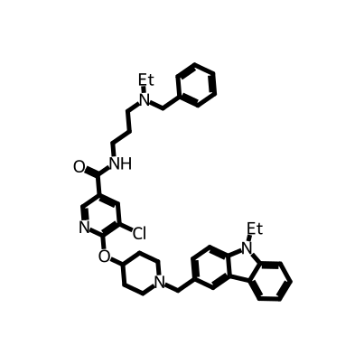 CCN(CCCNC(=O)c1cnc(OC2CCN(Cc3ccc4c(c3)c3ccccc3n4CC)CC2)c(Cl)c1)Cc1ccccc1